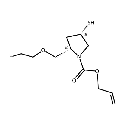 C=CCOC(=O)N1C[C@@H](S)C[C@H]1COCCF